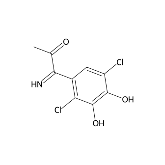 CC(=O)C(=N)c1cc(Cl)c(O)c(O)c1Cl